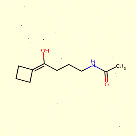 CC(=O)NCCCC(O)=C1CCC1